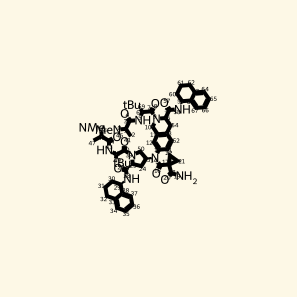 CNC(C)C(=O)NC(C(=O)N1Cc2cc(N(C(=O)C3(C(N)=O)CC3)[C@H]3C[C@@H](C(=O)N[C@@H]4CCCc5ccccc54)N(C(=O)C(NC(=O)C(C)NC)C(C)(C)C)C3)ccc2CC1C(=O)N[C@@H]1CCCc2ccccc21)C(C)(C)C